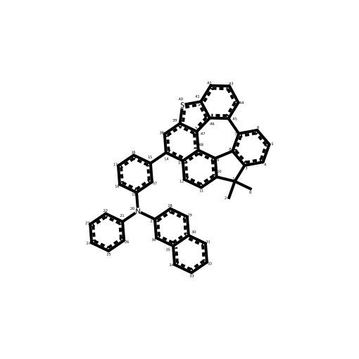 CC1(C)c2cccc3c2-c2c1ccc1c(-c4cccc(N(c5ccccc5)c5ccc6ccccc6c5)c4)cc4sc5cccc-3c5c4c21